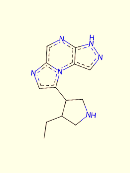 CCC1CNCC1c1cnc2cnc3[nH]ncc3n12